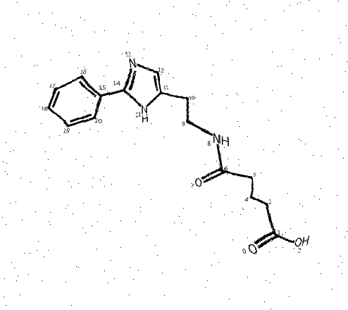 O=C(O)CCCC(=O)NCCc1cnc(-c2ccccc2)[nH]1